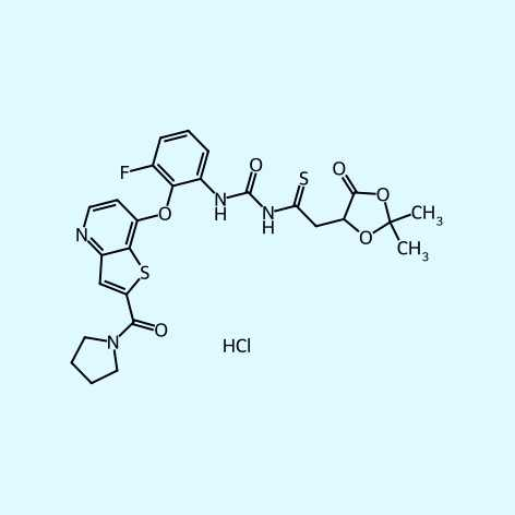 CC1(C)OC(=O)C(CC(=S)NC(=O)Nc2cccc(F)c2Oc2ccnc3cc(C(=O)N4CCCC4)sc23)O1.Cl